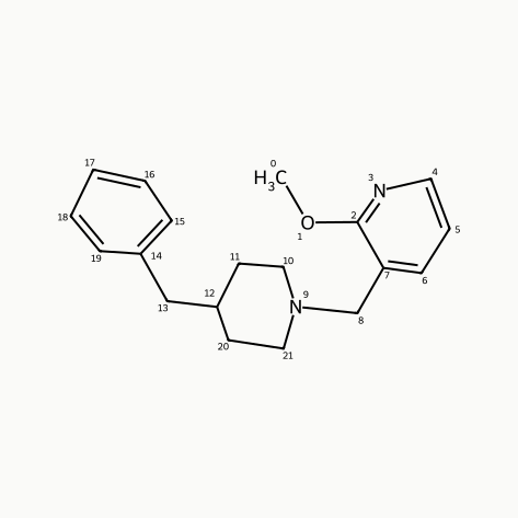 COc1ncccc1CN1CCC(Cc2ccccc2)CC1